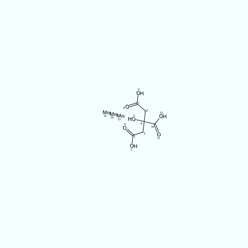 O=C(O)CC(O)(CC(=O)O)C(=O)O.[Mn].[Mn].[Mn]